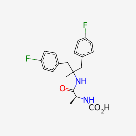 C[C@H](NC(=O)O)C(=O)NC(C)(Cc1ccc(F)cc1)Cc1ccc(F)cc1